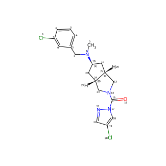 CN(Cc1cccc(Cl)c1)[C@H]1C[C@@H]2CN(C(=O)n3cc(Cl)cn3)C[C@@H]2C1